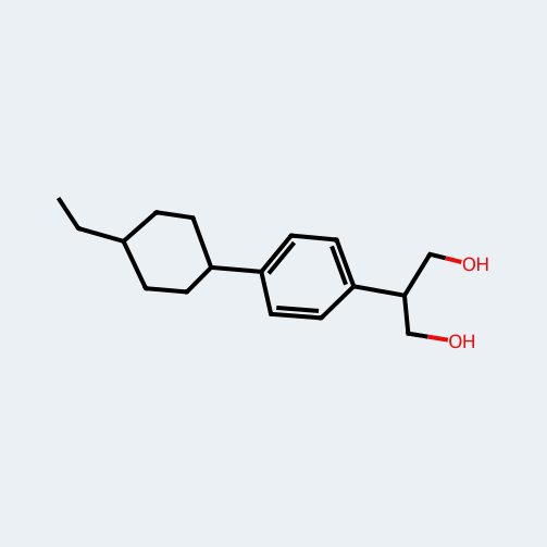 CCC1CCC(c2ccc(C(CO)CO)cc2)CC1